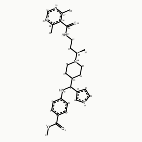 COC(=O)c1ccc(NC(c2ccsc2)C2CCN([C@H](C)CCNC(=O)c3c(C)ncnc3C)CC2)cc1